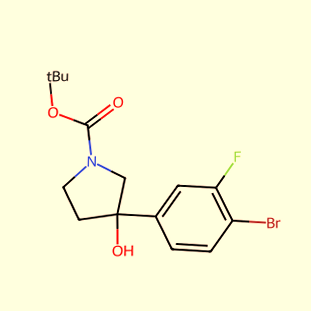 CC(C)(C)OC(=O)N1CCC(O)(c2ccc(Br)c(F)c2)C1